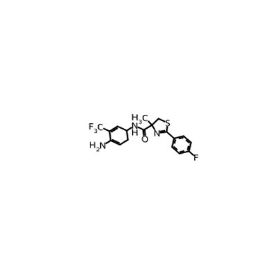 CC1(C(=O)NC2C=C(C(F)(F)F)C(N)=CC2)CSC(c2ccc(F)cc2)=N1